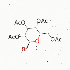 CC(=O)OCC1O[C@@H](Br)C(OC(C)=O)C(OC(C)=O)[C@@H]1OC(C)=O